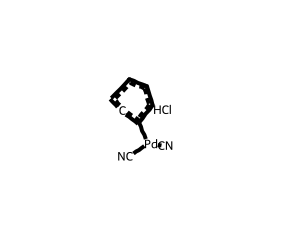 Cl.N#[C][Pd]([C]#N)[c]1ccccc1